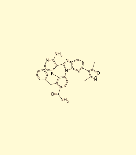 Cc1noc(C)c1-c1ccc2nc(-c3cccnc3N)n(-c3ccc(C(N)=O)c(Cc4ccccc4)c3F)c2n1